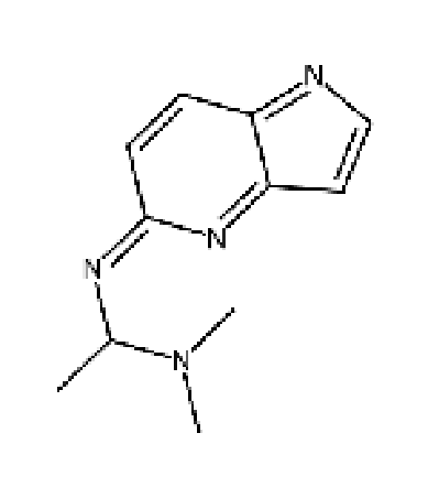 CC(/N=C1/C=CC2=NC=CC2=N1)N(C)C